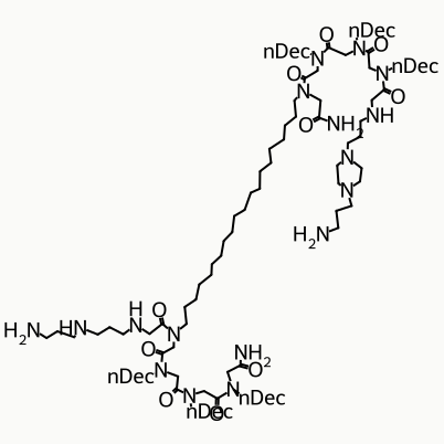 CCCCCCCCCCN(CC(N)=O)C(=O)CN(CCCCCCCCCC)C(=O)CN(CCCCCCCCCC)C(=O)CN(CCCCCCCCCCCCCCCCCCCCN(CC(N)=O)C(=O)CN(CCCCCCCCCC)C(=O)CN(CCCCCCCCCC)C(=O)CN(CCCCCCCCCC)C(=O)CNCCCN1CCN(CCCN)CC1)C(=O)CNCCCNCCCN